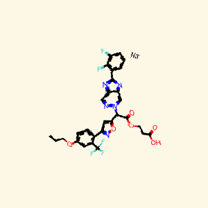 CCCOc1ccc(-c2cc(C(C(=O)OCCC(=O)O)n3cc4nc(-c5cccc(F)c5F)nc-4cn3)on2)c(C(F)(F)F)c1.[Na]